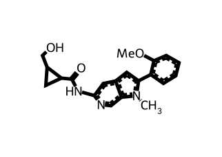 COc1ccccc1-c1cc2cc(NC(=O)C3CC3CO)ncc2n1C